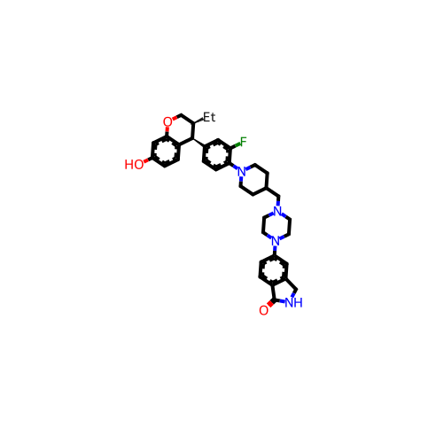 CC[C@@H]1COc2cc(O)ccc2[C@@H]1c1ccc(N2CCC(CN3CCN(c4ccc5c(c4)CNC5=O)CC3)CC2)c(F)c1